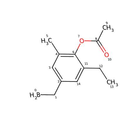 BCc1cc(C)c(OC(C)=O)c(CC)c1